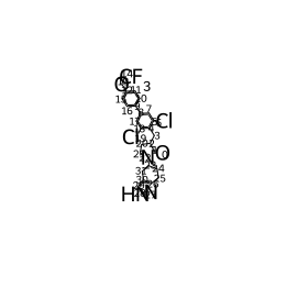 O=C1C(Cc2c(Cl)cc(-c3ccc(OC(F)(F)F)cc3)cc2Cl)CCN1C1CCc2n[nH]cc2C1